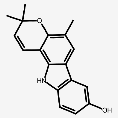 Cc1cc2c([nH]c3ccc(O)cc32)c2c1OC(C)(C)C=C2